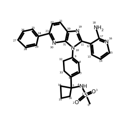 CS(=O)(=O)NC1(C2=CC=C(n3c(-c4cccnc4N)nc4ccc(-c5ccccc5)nc43)CC2)CCC1